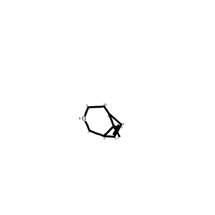 CC1(C)C2C=CC1COCC2